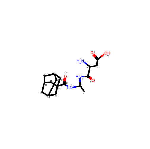 CC(NC(=O)C(N)CC(=O)O)NC(=O)C12CC3CC(CC(C3)C1)C2